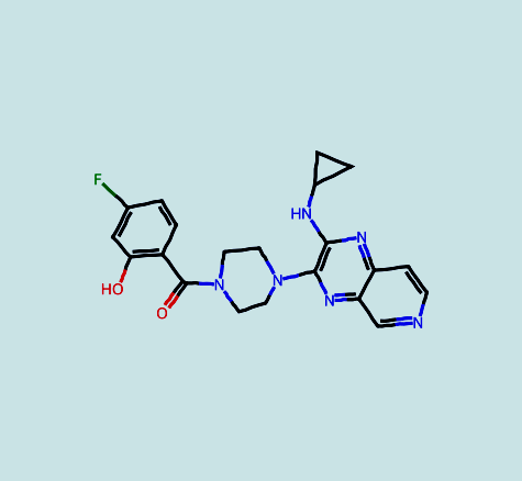 O=C(c1ccc(F)cc1O)N1CCN(c2nc3cnccc3nc2NC2CC2)CC1